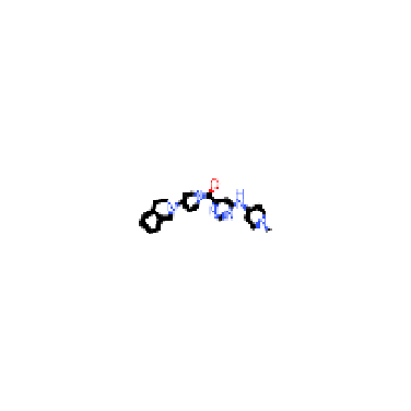 CN1CCC(Nc2cc(C(=O)N3CCC(N4CCc5ccccc5C4)CC3)ncn2)CC1